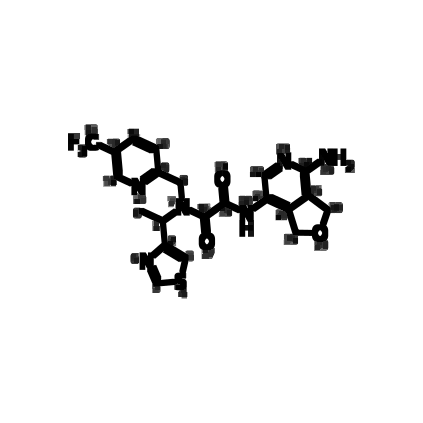 CC(c1cscn1)N(Cc1ccc(C(F)(F)F)cn1)C(=O)C(=O)Nc1cnc(N)c2c1COC2